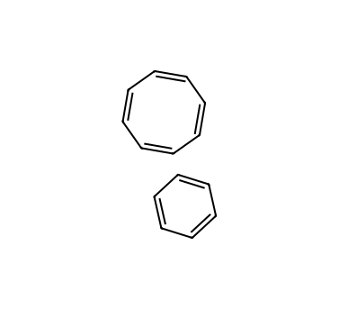 C1=CC=CC=CC=C1.c1ccccc1